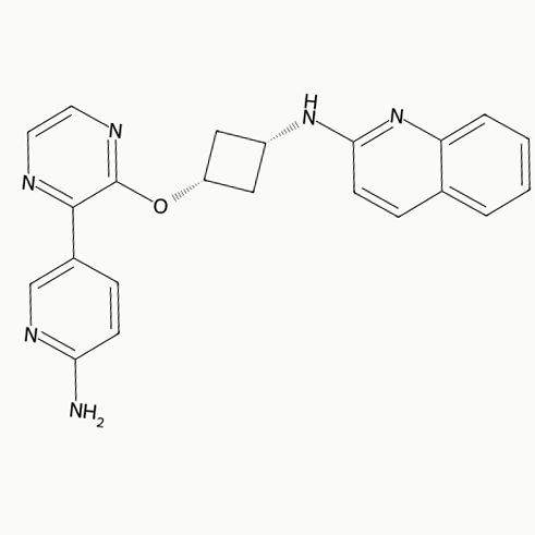 Nc1ccc(-c2nccnc2O[C@H]2C[C@@H](Nc3ccc4ccccc4n3)C2)cn1